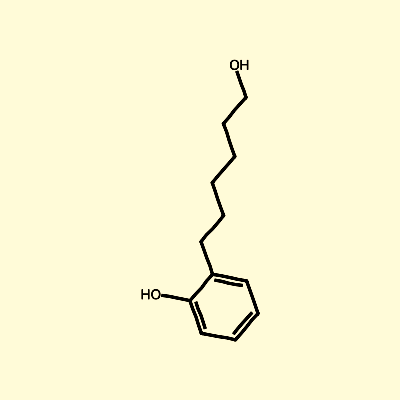 OCCCCCCc1ccccc1O